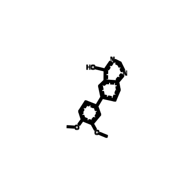 COc1ccc(-c2ccc3ncnc(O)c3c2)cc1OC